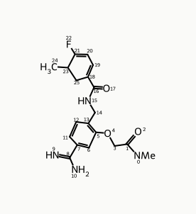 CNC(=O)COc1cc(C(=N)N)ccc1CNC(=O)C1=CC=C(F)C(C)C1